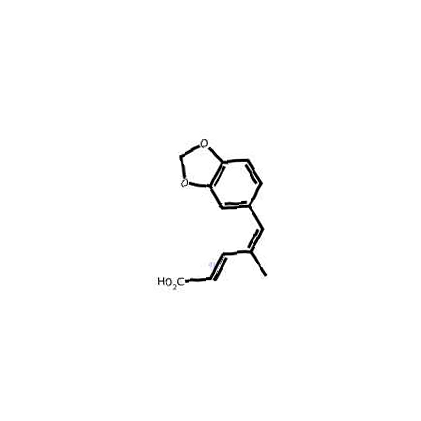 CC(=Cc1ccc2c(c1)OCO2)/C=C/C(=O)O